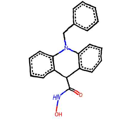 O=C(NO)C1c2ccccc2N(Cc2ccccc2)c2ccccc21